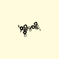 NC(=O)C1(N2CCCCC2)CCN(C(=O)OCC2CCCC(c3cc(F)cc(F)c3)N2S(=O)(=O)c2ccc(Cl)cc2)CC1